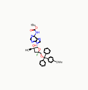 C#C[C@]1(O)[CH][C@](F)(COC(c2ccccc2)(c2ccccc2)c2ccc(OC)cc2)O[C@H]1n1cnc2c(NC(=O)OC(C)(C)C)ncnc21